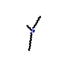 CCCCCCCCCCCCCCN1C=CN(CCCCCCCCCCC)C1CCCCC